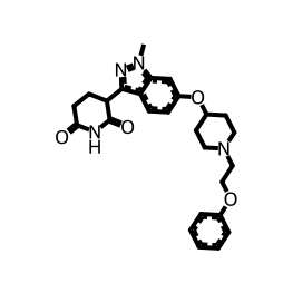 Cn1nc(C2CCC(=O)NC2=O)c2ccc(OC3CCN(CCOc4ccccc4)CC3)cc21